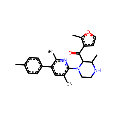 Cc1ccc(-c2cc(C#N)c(N3CCNC(C)C3C(=O)c3ccoc3C)nc2C(C)C)cc1